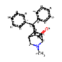 CN1CC2CCC1C(=O)C2=C(c1ccccc1)c1ccccc1